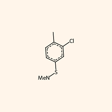 CNSc1ccc(C)c(Cl)c1